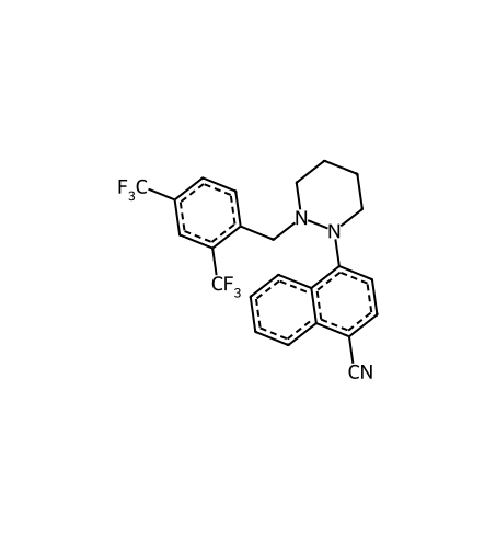 N#Cc1ccc(N2CCCCN2Cc2ccc(C(F)(F)F)cc2C(F)(F)F)c2ccccc12